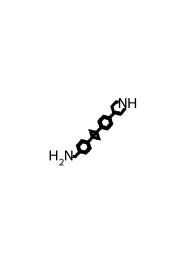 NCc1ccc(C23CC2(c2ccc(C4=CCNCC4)cc2)C3)cc1